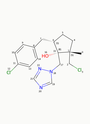 C[C@]1(CCl)CC[C@@H](Cc2ccc(Cl)cc2)[C@]1(O)Cn1cncn1